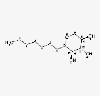 CCCCCCCC1OC[C@@H](O)[C@H](O)[C@H]1O